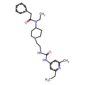 CCc1cc(NC(=O)NCCN2CCC(N(CC)C(=O)Cc3ccccc3)CC2)cc(C)n1